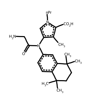 CCCn1cc(N(C(=O)CN)c2ccc3c(c2)C(C)(C)CCC3(C)C)c(C)c1C(=O)O